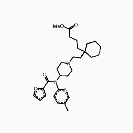 COC(=O)CCCC1(CCN2CCC(N(C(=O)c3ccco3)c3ccc(C)cn3)CC2)CCCCC1